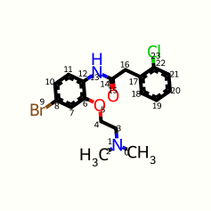 CN(C)CCOc1cc(Br)ccc1NC(=O)Cc1ccccc1Cl